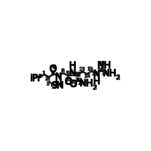 CC(C)CC(CS)C(=O)NCC(=O)N[C@@H](CCCNC(=N)N)C(N)=O